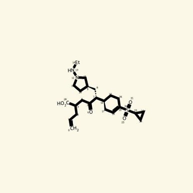 C=CCC(CC(=O)[C@H](C[C@H]1CCN(NCC)C1)[C@@H]1CC=C(S(=O)(=O)C2CC2)CC1)C(=O)O